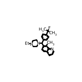 CCN1CCN(C(c2ccc(C(C)(C)F)cc2)c2ccc3cccnc3c2C)CC1